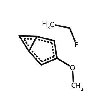 CCF.COc1cc2cc-2c1